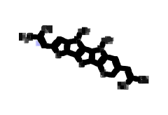 CCCn1c2c(c3sc4c5sc(/C=C(/C)C#N)cc5n(CCC)c4c31)SCC(C=C(C#N)C#N)=C2